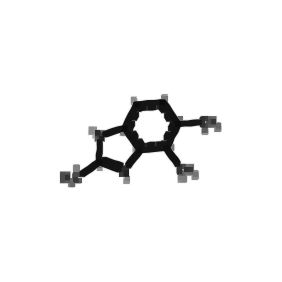 CC1=Nc2c(ccc(C)c2C)[N]1